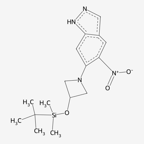 CC(C)(C)[Si](C)(C)OC1CN(c2cc3[nH]ncc3cc2[N+](=O)[O-])C1